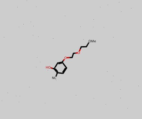 COCCOCCOc1ccc(C#N)c(O)c1